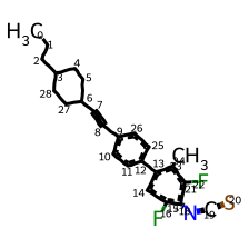 CCCC1CCC(C#Cc2ccc(-c3cc(F)c(N=C=S)c(F)c3C)cc2)CC1